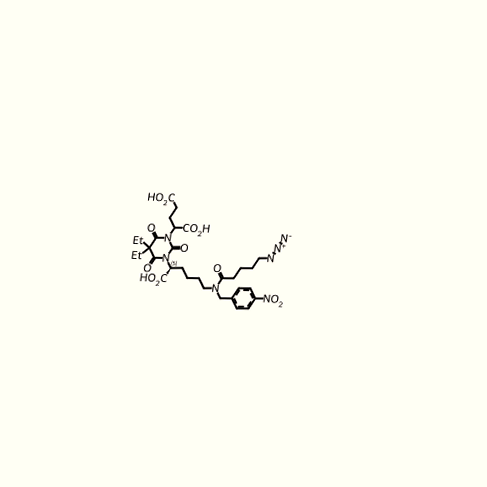 CCC1(CC)C(=O)N(C(CCC(=O)O)C(=O)O)C(=O)N([C@@H](CCCCN(Cc2ccc([N+](=O)[O-])cc2)C(=O)CCCCN=[N+]=[N-])C(=O)O)C1=O